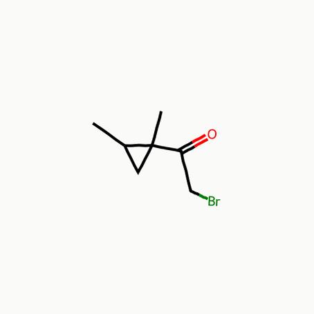 CC1CC1(C)C(=O)CBr